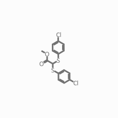 COC(=O)C(Sc1ccc(Cl)cc1)Sc1ccc(Cl)cc1